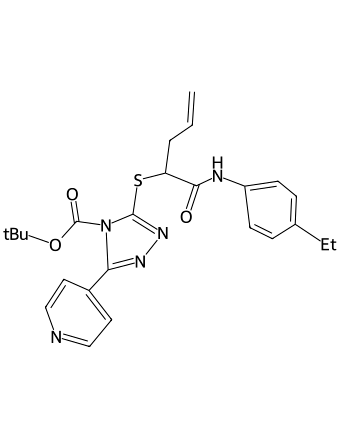 C=CCC(Sc1nnc(-c2ccncc2)n1C(=O)OC(C)(C)C)C(=O)Nc1ccc(CC)cc1